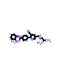 CC(C)CNCc1cnc(-c2ccc(C(=O)Nc3ccccc3N)cc2)c(C#N)c1